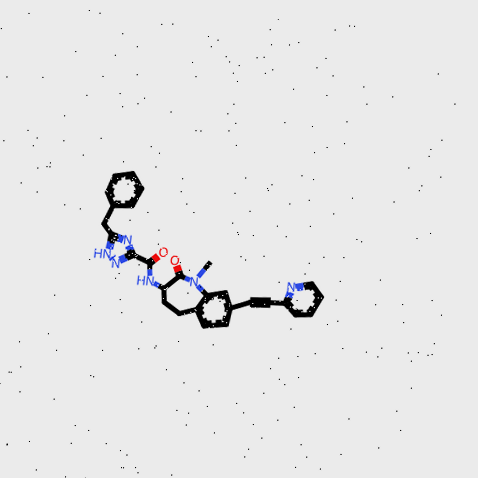 CN1C(=O)C(NC(=O)c2n[nH]c(Cc3ccccc3)n2)CCc2ccc(C#Cc3ccccn3)cc21